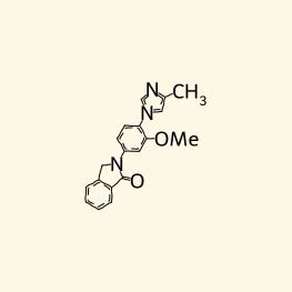 COc1cc(N2Cc3ccccc3C2=O)ccc1-n1cnc(C)c1